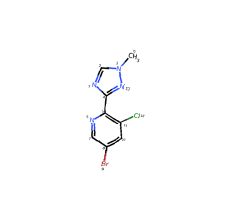 Cn1cnc(-c2ncc(Br)cc2Cl)n1